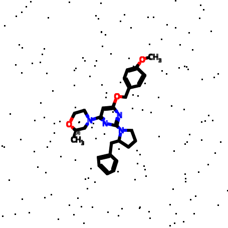 COc1ccc(COc2cc(N3CCO[C@H](C)C3)nc(N3CCCC3Cc3ccccc3)n2)cc1